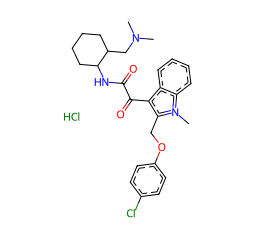 CN(C)CC1CCCCC1NC(=O)C(=O)c1c(COc2ccc(Cl)cc2)n(C)c2ccccc12.Cl